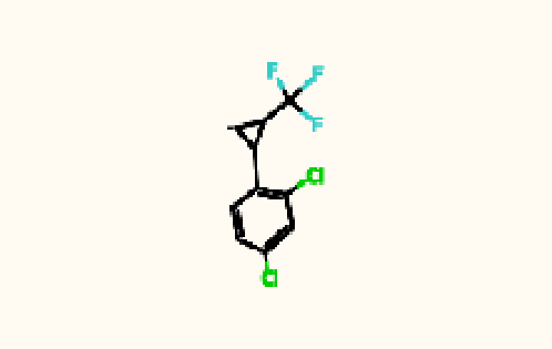 FC(F)(F)C1[CH]C1c1ccc(Cl)cc1Cl